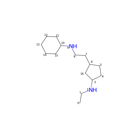 CCNC1CCC(CCNC2CCCCC2)C1